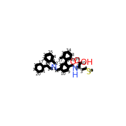 CSCC[C@H](NC(=O)c1ccc(CN(CCC2CCCCC2)Cc2ccccc2)cc1-c1ccccc1C)C(=O)O